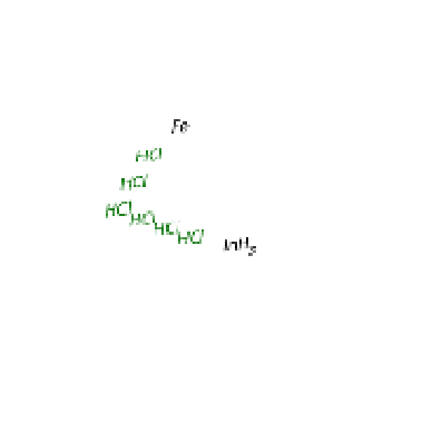 Cl.Cl.Cl.Cl.Cl.Cl.[Fe].[InH3]